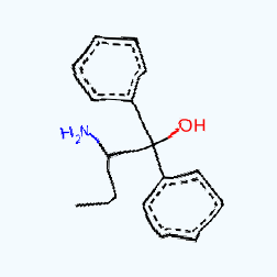 CCC(N)C(O)(c1ccccc1)c1ccccc1